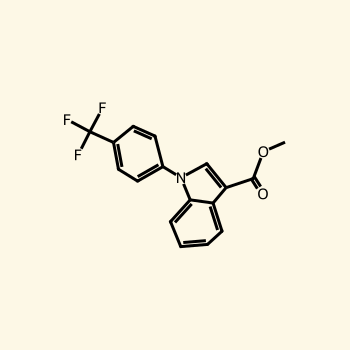 COC(=O)c1cn(-c2ccc(C(F)(F)F)cc2)c2ccccc12